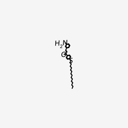 CCCCCCCCCCCCCCCSc1ccc(C(=O)C=Cc2cccc(N)c2)cc1